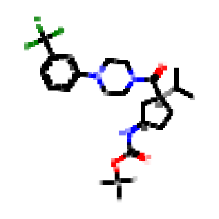 CC(C)[C@]1(C(=O)N2CCN(c3cccc(C(F)(F)F)c3)CC2)CC[C@@H](NC(=O)OC(C)(C)C)C1